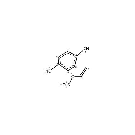 C=COS(=O)(=O)O.N#Cc1ccc(C#N)cc1